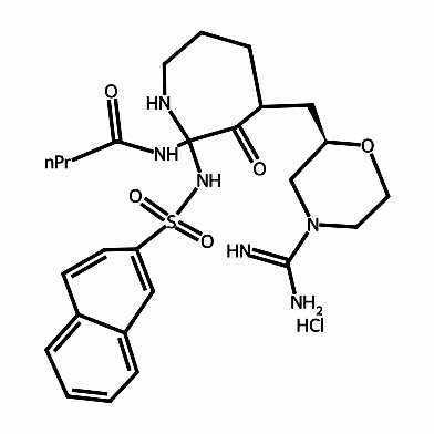 CCCC(=O)NC1(NS(=O)(=O)c2ccc3ccccc3c2)NCCCC(C[C@@H]2CN(C(=N)N)CCO2)C1=O.Cl